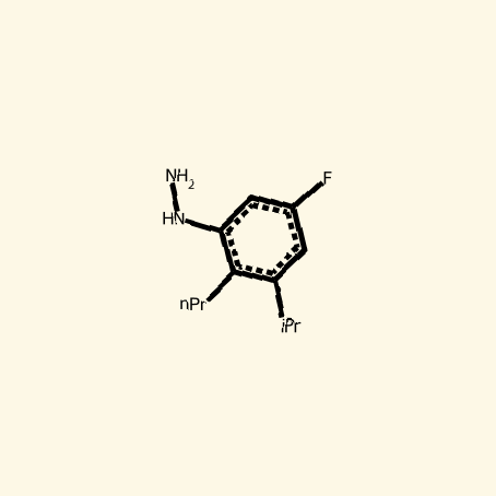 CCCc1c(NN)cc(F)cc1C(C)C